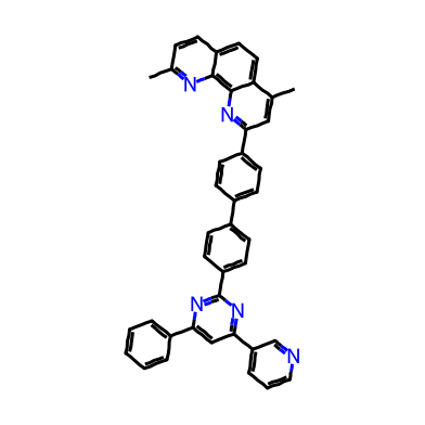 Cc1ccc2ccc3c(C)cc(-c4ccc(-c5ccc(-c6nc(-c7ccccc7)cc(-c7cccnc7)n6)cc5)cc4)nc3c2n1